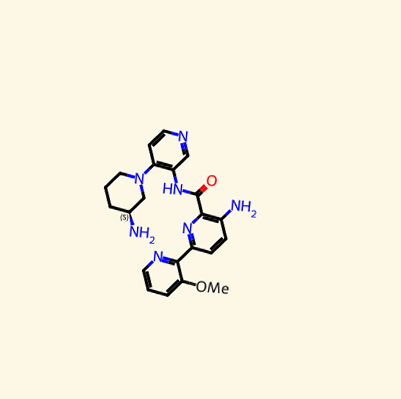 COc1cccnc1-c1ccc(N)c(C(=O)Nc2cnccc2N2CCC[C@H](N)C2)n1